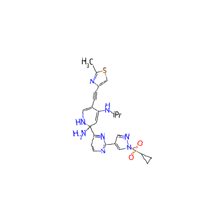 Cc1nc(C#CC2=CNC(N)(c3ccnc(-c4cnn(S(=O)(=O)C5CC5)c4)n3)C=C2NC(C)C)cs1